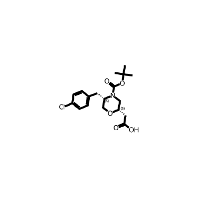 CC(C)(C)OC(=O)N1C[C@H](CC(=O)O)OC[C@@H]1Cc1ccc(Cl)cc1